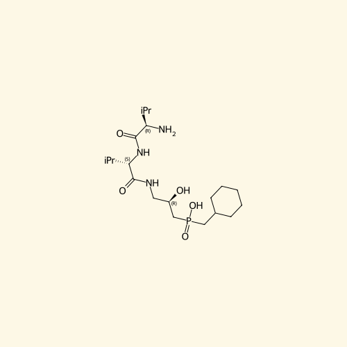 CC(C)[C@H](NC(=O)[C@H](N)C(C)C)C(=O)NC[C@@H](O)CP(=O)(O)CC1CCCCC1